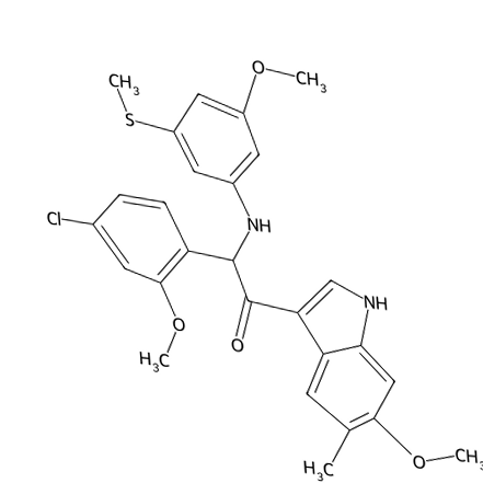 COc1cc(NC(C(=O)c2c[nH]c3cc(OC)c(C)cc23)c2ccc(Cl)cc2OC)cc(SC)c1